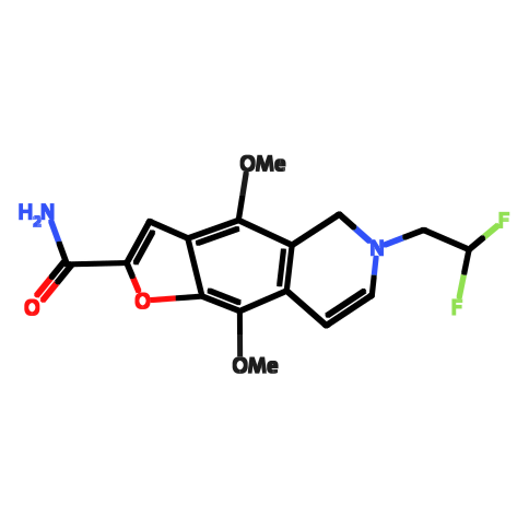 COc1c2c(c(OC)c3oc(C(N)=O)cc13)C=CN(CC(F)F)C2